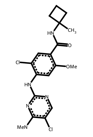 CNc1nc(Nc2cc(OC)c(C(=O)NC3(C)CCC3)cc2Cl)ncc1Cl